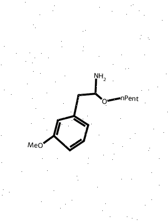 CCCCCOC(N)Cc1cccc(OC)c1